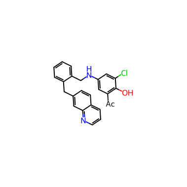 CC(=O)c1cc(NCc2ccccc2Cc2ccc3cccnc3c2)cc(Cl)c1O